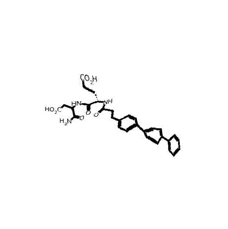 NC(=O)C(CC(=O)O)NC(=O)[C@H](CCC(=O)O)NC(=O)CCc1ccc(-c2ccc(-c3ccccc3)cc2)cc1